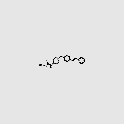 CC(C)(C)OC(=O)NC1CCN(Cc2ccc(/C=C/c3ccccc3)cc2)CC1